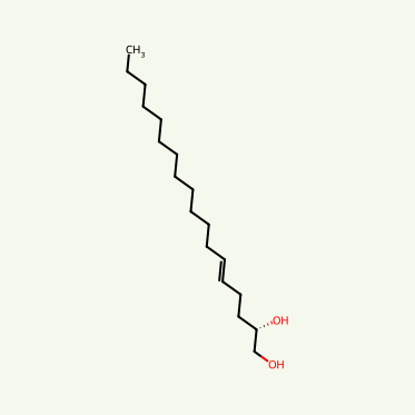 CCCCCCCCCCCC/C=C/CC[C@H](O)CO